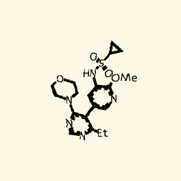 CCc1ncnc(N2CCOCC2)c1-c1cnc(OC)c(NS(=O)(=O)C2CC2)c1